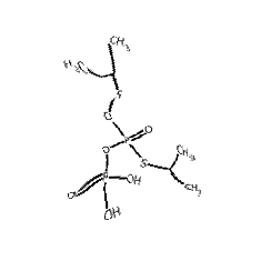 CC(C)SOP(=O)(OP(=O)(O)O)SC(C)C